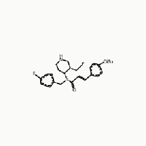 CC(C)COc1ccc(C=CC(=O)N(Cc2ccc(F)cc2)[C@H]2CCNC[C@H]2CF)cc1